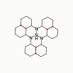 C1CCC(N(C2CCCCC2)[SiH](N(C2CCCCC2)C2CCCCC2)N(C2CCCCC2)C2CCCCC2)CC1